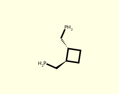 PC[C@@H]1CC[C@H]1CP